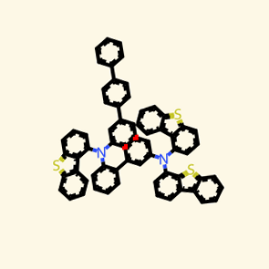 c1ccc(-c2ccc(-c3cccc(N(c4ccccc4-c4cccc(N(c5cccc6c5sc5ccccc56)c5cccc6sc7ccccc7c56)c4)c4cccc5sc6ccccc6c45)c3)cc2)cc1